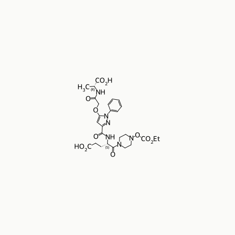 CCOC(=O)ON1CCN(C(=O)[C@H](CCC(=O)O)NC(=O)c2cc(OCC(=O)N[C@H](C)C(=O)O)n(-c3ccccc3)n2)CC1